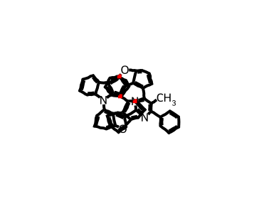 Cc1c(-c2ccccc2)nc(-c2ccccc2)nc1-c1cccc2oc3cccc(-c4cccc5oc6cccc(-n7c8ccccc8c8ccccc87)c6c45)c3c12